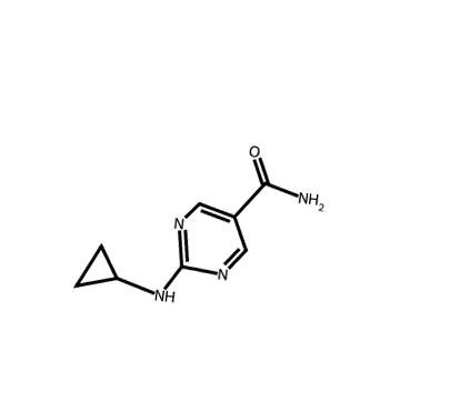 NC(=O)c1cnc(NC2CC2)nc1